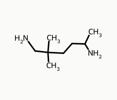 CC(N)CCC(C)(C)CN